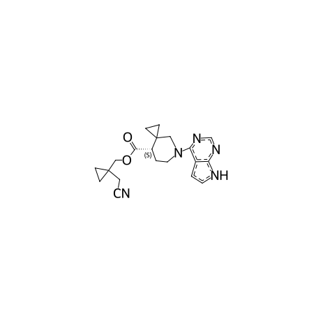 N#CCC1(COC(=O)[C@H]2CCN(c3ncnc4[nH]ccc34)CC23CC3)CC1